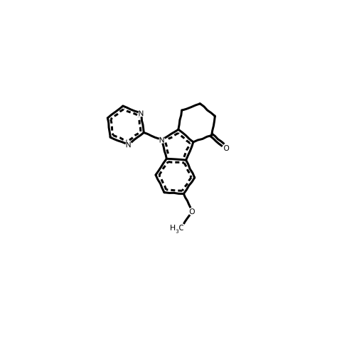 COc1ccc2c(c1)c1c(n2-c2ncccn2)CCCC1=O